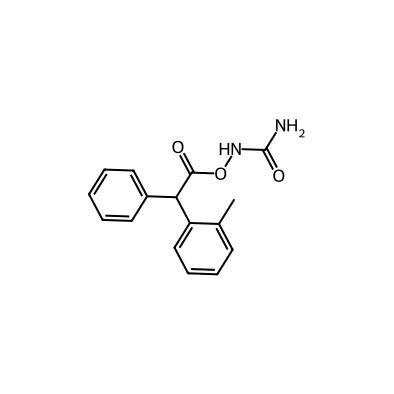 Cc1ccccc1C(C(=O)ONC(N)=O)c1ccccc1